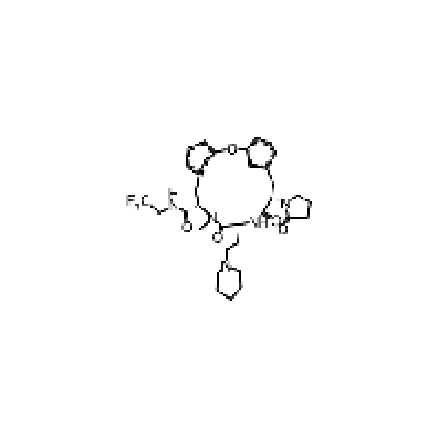 CN1C(=O)[C@H](CCN2CCCCC2)NC(=O)[C@@H](N2CCCC2=O)Cc2cccc(c2)Oc2cccc(c2)C[C@H]1C(=O)NCC(F)(F)F